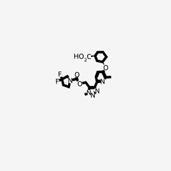 Cc1nc(-c2nnn(C)c2COC(=O)N2CCC(F)(F)C2)ccc1O[C@H]1CCC[C@H](C(=O)O)C1